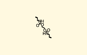 C=CCNC(=O)OCCOC(=O)NCC=C